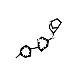 Cc1ccc(-c2ccc(O[C@H]3CN4CCC3C4)cn2)cc1